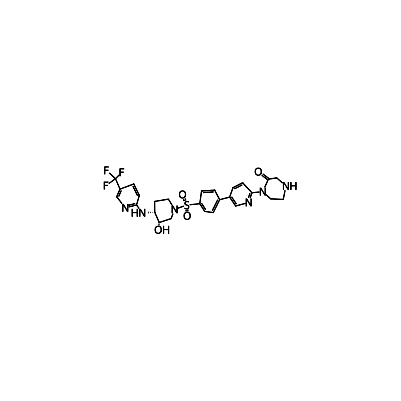 O=C1CNCCN1c1ccc(-c2ccc(S(=O)(=O)N3CC[C@@H](Nc4ccc(C(F)(F)F)cn4)[C@@H](O)C3)cc2)cn1